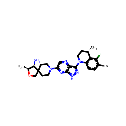 C[C@@H]1OCC2(CCN(c3cnc4c(N5CC[C@H](C)c6c5ccc(C#N)c6F)n[nH]c4n3)CC2)[C@@H]1N